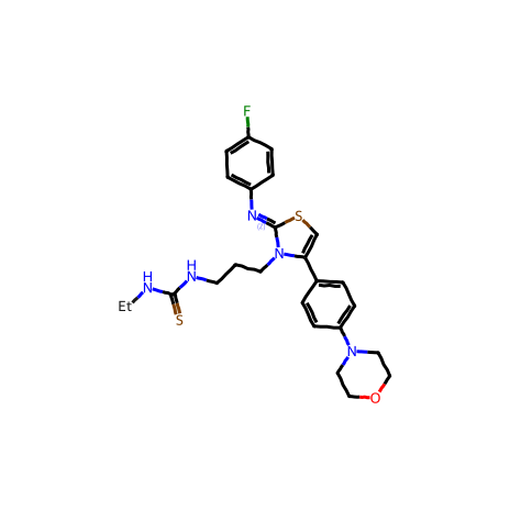 CCNC(=S)NCCCn1c(-c2ccc(N3CCOCC3)cc2)cs/c1=N\c1ccc(F)cc1